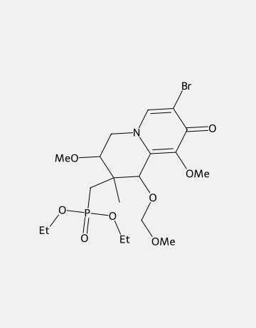 CCOP(=O)(CC1(C)C(OC)Cn2cc(Br)c(=O)c(OC)c2C1OCOC)OCC